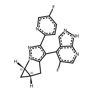 Fc1ccc(-c2nn3c(c2-c2c(F)cnc4[nH]ncc24)C[C@@H]2C[C@@H]23)nc1